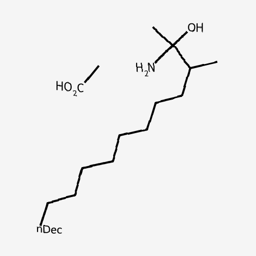 CC(=O)O.CCCCCCCCCCCCCCCCCCC(C)C(C)(N)O